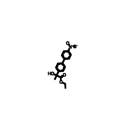 CCOC(=O)C(C)(O)c1ccc(-c2ccc([N+](=O)[O-])cc2)cc1